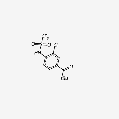 CC(C)(C)C(=O)c1ccc(NS(=O)(=O)C(F)(F)F)c(Cl)c1